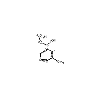 COc1cccc(B(O)OC(=O)O)c1